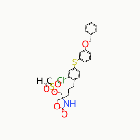 CS(=O)(=O)OCC1(CCCc2ccc(Sc3cccc(OCc4ccccc4)c3)cc2Cl)COC(=O)N1